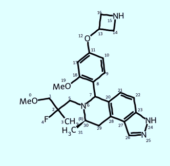 COCC(C)(F)CN1C(c2ccc(OC3CNC3)cc2OC)c2ccc3[nH]ncc3c2C[C@H]1C